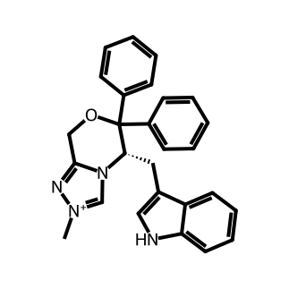 C[n+]1cn2c(n1)COC(c1ccccc1)(c1ccccc1)[C@@H]2Cc1c[nH]c2ccccc12